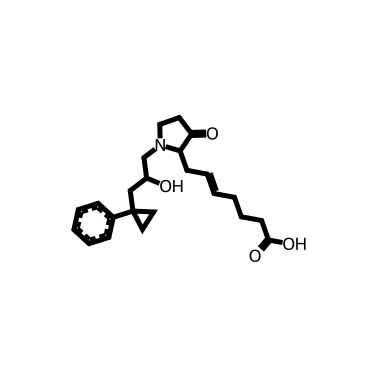 O=C(O)CCCC=CCC1C(=O)CCN1CC(O)CC1(c2ccccc2)CC1